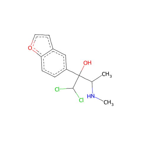 CNC(C)C(O)(c1ccc2occc2c1)C(Cl)Cl